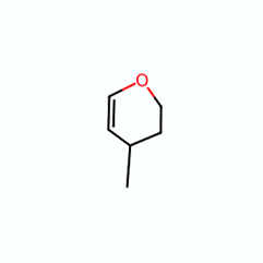 CC1C=COCC1